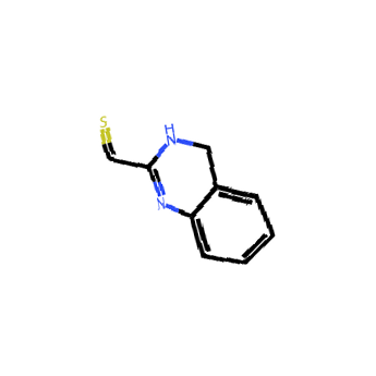 S=CC1=Nc2ccccc2CN1